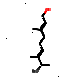 CC(=O)OC(C)/C(C)=C/CC/C(C)=C/CO